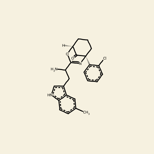 Cc1ccc2[nH]cc(CC(N)C3=N[C@]4(c5ccccc5Cl)CCC[C@H](O3)C4=O)c2c1